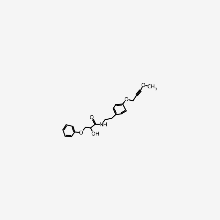 COC#CCOc1ccc(CCNC(=O)C(O)COc2ccccc2)cc1